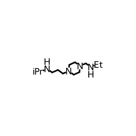 CCNCN1CCN(CCCNC(C)C)CC1